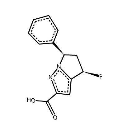 O=C(O)c1cc2n(n1)[C@@H](c1ccccc1)C[C@H]2F